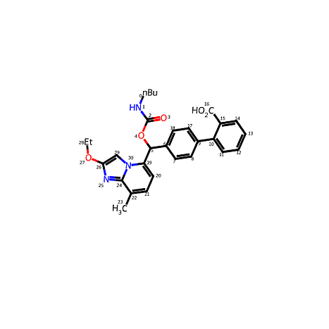 CCCCNC(=O)OC(c1ccc(-c2ccccc2C(=O)O)cc1)c1ccc(C)c2nc(OCC)cn12